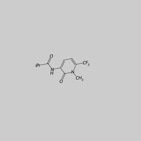 CC(C)C(=O)Nc1ccc(C(F)(F)F)n(C)c1=O